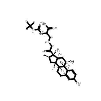 C[C@@H]1C[C@H]2[C@@H]3CCC4=CC(O)C=C[C@]4(C)[C@@]3(F)[C@@H](O)C[C@]2(C)[C@@]1(O)C(=O)CSCC(NC(=O)OC(C)(C)C)C(=O)O